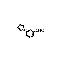 O=Cc1cc[c]c([SH]2C=CC=C2)c1